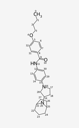 CCCCOc1ccc(C(=O)Nc2ccc(N3CCC(N4C5CCCC4CC5)C3)cc2)cc1